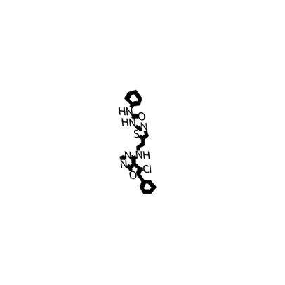 O=C(NC1=NCC(CCNc2ncnc3oc(-c4ccccc4)c(Cl)c23)S1)Nc1ccccc1